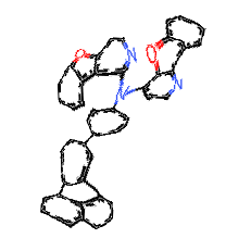 c1cc2c3c(cccc3c1)-c1cc(-c3ccc(N(c4ccnc5c4oc4ccccc45)c4nccc5oc6ccccc6c45)cc3)ccc1-2